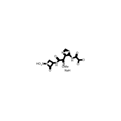 CON=C(C(=O)NC1CN(S(=O)(=O)O)C1=O)c1ncsc1NC(=O)C(Cl)Cl.[NaH]